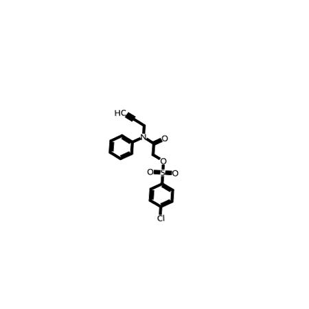 C#CCN(C(=O)COS(=O)(=O)c1ccc(Cl)cc1)c1ccccc1